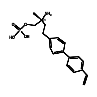 C=Cc1ccc(-c2ccc(CC[C@@](C)(N)COP(=O)(O)O)cc2)cc1